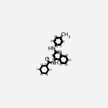 Cc1ccc(Nc2cc(NC(=O)C3CCCCC3)c3ccccc3n2)cc1